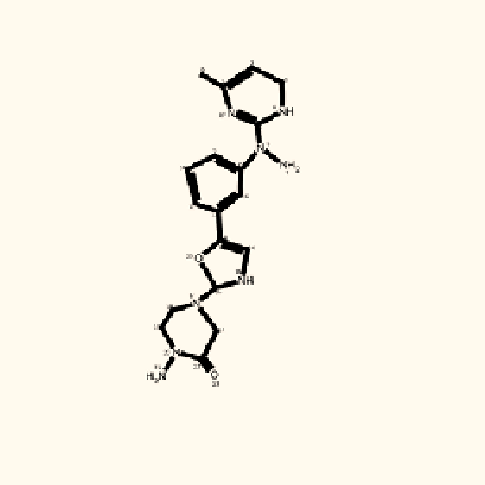 CC1=CCNC(N(N)c2cccc(C3=CNC(N4CCN(N)C(=O)C4)O3)c2)=N1